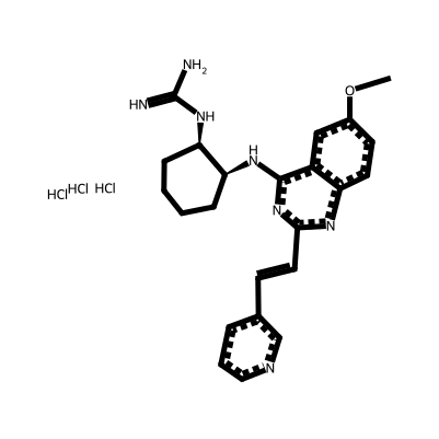 COc1ccc2nc(/C=C/c3cccnc3)nc(N[C@H]3CCCC[C@H]3NC(=N)N)c2c1.Cl.Cl.Cl